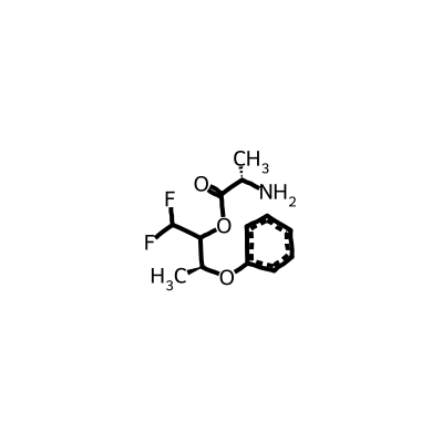 C[C@H](N)C(=O)OC(C(F)F)[C@H](C)Oc1ccccc1